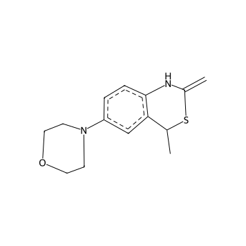 C=C1Nc2ccc(N3CCOCC3)cc2C(C)S1